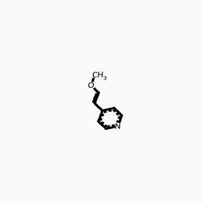 COC=Cc1ccncc1